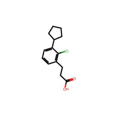 O=C(O)CCc1cccc(C2CCCC2)c1Cl